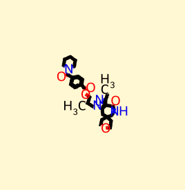 CCc1nn(C[C@@H](C)COC(=O)c2ccc(C(=O)N3CCCCC3)cc2)c2c1C(=O)NCC1(CCOCC1)C2